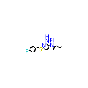 C=C(CCC)Nc1ccc(SCc2ccc(F)cc2)nc1N